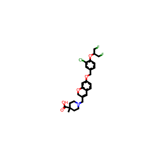 CC1(C(=O)O)CCN(CC2=Cc3ccc(OCc4ccc(OC(CF)CF)c(Cl)c4)cc3OC2)CC1